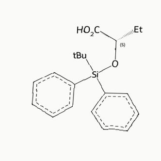 CC[C@H](O[Si](c1ccccc1)(c1ccccc1)C(C)(C)C)C(=O)O